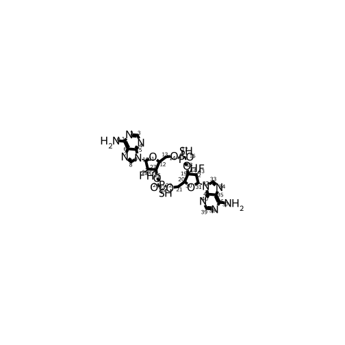 Nc1ncnc2c1ncn2[C@@H]1OC2CO[P@@](=O)(S)O[C@@H]3C(CO[P@](=O)(S)O[C@H]2[C@@H]1F)O[C@@H](n1cnc2c(N)ncnc21)[C@H]3F